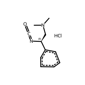 CN(C)C[C@H](N=C=O)c1ccccc1.Cl